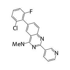 CNc1nc(-c2cccnc2)nc2ccc(-c3c(F)cccc3Cl)cc12